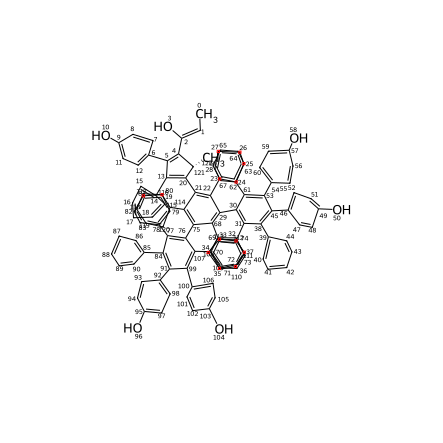 CC=C(O)C1=C(c2ccc(O)cc2)C(c2ccccc2)=C(c2c(-c3ccccc3)c(-c3c(-c4ccccc4)c(-c4ccccc4)c(-c4ccc(O)cc4)c(-c4ccc(O)cc4)c3-c3ccccc3)c(-c3ccccc3)c(-c3c(-c4ccccc4)c(-c4ccccc4)c(-c4ccc(O)cc4)c(-c4ccc(O)cc4)c3-c3ccccc3)c2-c2ccccc2)[C@H]1C